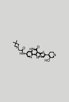 CC1(C)CN(CC(=O)Nc2cnc3c(c2)[nH]c(=O)c2c3nn3cc(C4=C(O)C=NCC4)sc23)C1